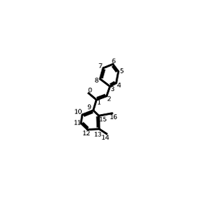 C/C(=C\c1ccccc1)c1cccc(C)c1C